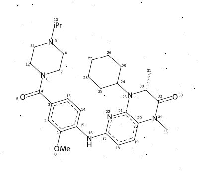 COc1cc(C(=O)N2CCN(C(C)C)CC2)ccc1Nc1ccc2c(n1)N(C1CCCCC1)[C@H](C)C(=O)N2C